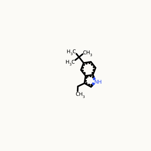 CCc1c[nH]c2ccc(C(C)(C)C)cc12